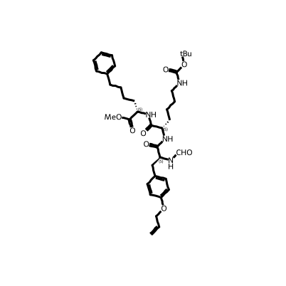 C=CCOc1ccc(C[C@H](NC=O)C(=O)N[C@@H](CCCCNC(=O)OC(C)(C)C)C(=O)N[C@@H](CCCCc2ccccc2)C(=O)OC)cc1